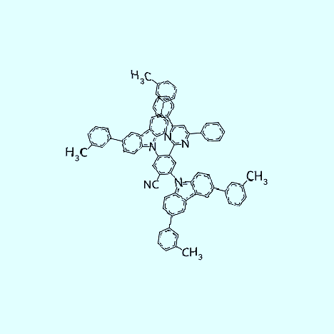 Cc1cccc(-c2ccc3c(c2)c2cc(-c4cccc(C)c4)ccc2n3-c2cc(-c3nc(-c4ccccc4)cc(-c4ccccc4)n3)c(-n3c4ccc(-c5cccc(C)c5)cc4c4cc(-c5cccc(C)c5)ccc43)cc2C#N)c1